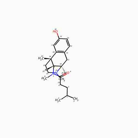 CC(C)CCC(=O)N(C)[C@H]1[C@H]2Cc3ccc(O)cc3[C@@]1(C)CCN2C